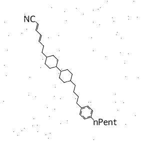 CCCCCc1ccc(CCCCC2CCC(C3CCC(CCC=CC=CC#N)CC3)CC2)cc1